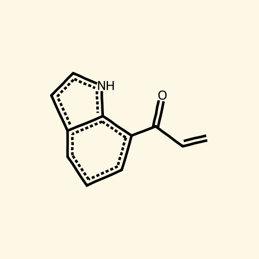 C=CC(=O)c1cccc2cc[nH]c12